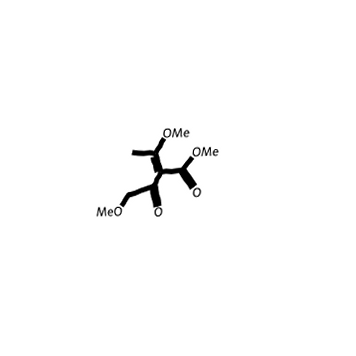 COCC(=O)C(C(=O)OC)=C(C)OC